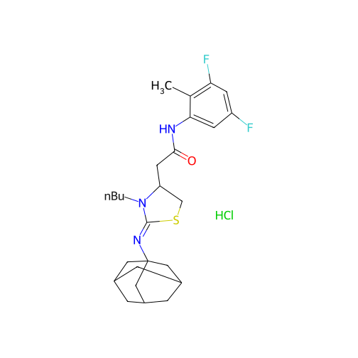 CCCCN1C(=NC23CC4CC(CC(C4)C2)C3)SCC1CC(=O)Nc1cc(F)cc(F)c1C.Cl